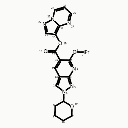 CC(C)Oc1nc2nn(C3CCCCO3)cc2cc1C(=O)Oc1cnn2cccnc12